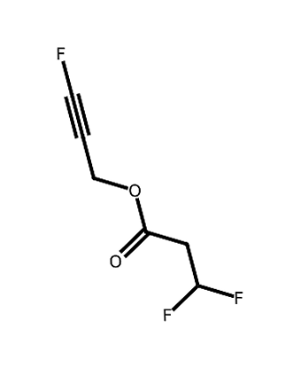 O=C(CC(F)F)OCC#CF